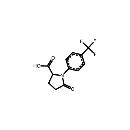 O=C(O)C1CCC(=O)N1c1ccc(C(F)(F)F)cc1